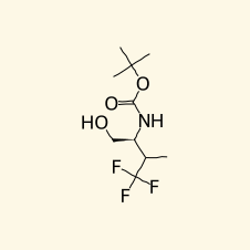 CC([C@@H](CO)NC(=O)OC(C)(C)C)C(F)(F)F